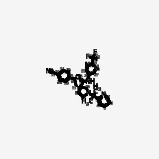 CC(C)(c1ccccn1)N1CC[C@@](CCc2ccc(C#N)cc2)(C(=O)Nc2cnc(C(F)(F)F)nc2)C1